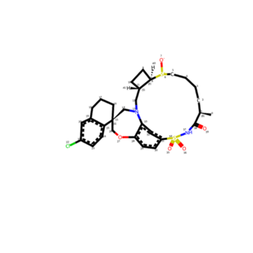 C[C@@H]1CCCC[S+]([O-])[C@@H]2CC[C@H]2CN2C[C@@]3(CCCc4cc(Cl)ccc43)COc3ccc(cc32)S(=O)(=O)NC1=O